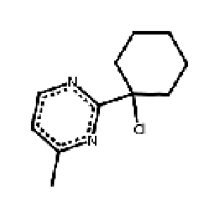 Cc1ccnc(C2(Cl)CCCCC2)n1